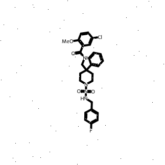 COc1ccc(Cl)cc1C(=O)NCC1(c2ccccc2)CCN(S(=O)(=O)NCc2ccc(F)cc2)CC1